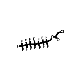 O=C(CCl)OCC(F)(F)C(F)(F)C(F)(F)C(F)(F)C(F)(F)C(F)(F)C(F)(F)F